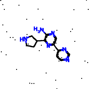 Nc1ncc(-c2ccncn2)nc1C1CCNC1